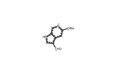 COc1cc2c(C=O)c[nH]c2cn1